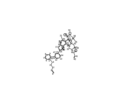 C=CCCCc1ccccc1-c1cccc(-c2cc3nc(C)c([C@H](OC(C)(C)C)C(=O)OC)c(N4CCC(C)(OCC=C)CC4)n3n2)c1